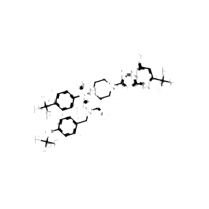 O=C(NCc1ccc(OC(F)(F)F)cc1)[C@H]1CN(c2nn3c(=O)cc(C(F)(F)F)nc3s2)CCN1S(=O)(=O)c1ccc(C(F)(F)F)cc1